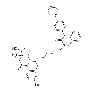 C[C@]12C[C@H](F)C3c4ccc(O)cc4C[C@@H](CCCCCCN(Cc4ccccc4)C(=O)Cc4ccc(-c5ccccc5)cc4)C3C1CC[C@@H]2O